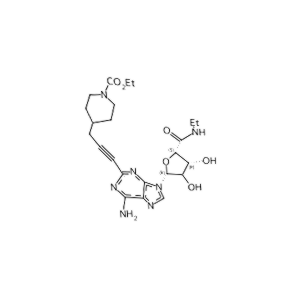 CCNC(=O)[C@H]1O[C@@H](n2cnc3c(N)nc(C#CCC4CCN(C(=O)OCC)CC4)nc32)C(O)[C@H]1O